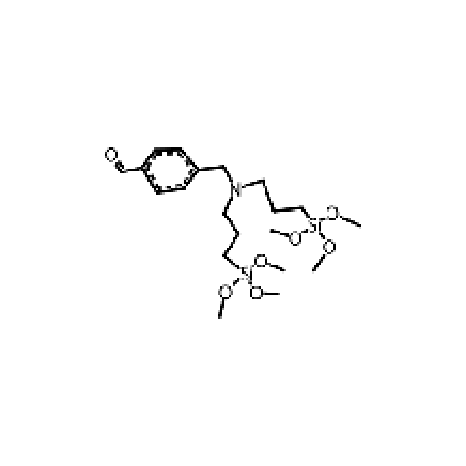 CO[Si](CCCN(CCC[Si](OC)(OC)OC)Cc1ccc(C=O)cc1)(OC)OC